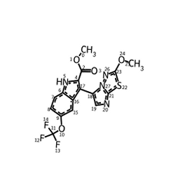 COC(=O)c1[nH]c2ccc(OC(F)(F)F)cc2c1-c1cnc2sc(OC)nn12